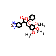 COc1cc(CC2=C(c3ccc4nsnc4c3)C(=O)OC2(O)c2ccccc2)cc(OC)c1OC